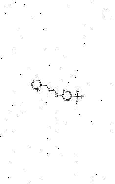 FC(F)(F)c1ccc(SSSCc2ccccn2)nc1